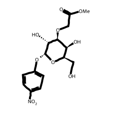 COC(=O)CO[C@H]1[C@@H](O)[C@@H](CO)O[C@H](Oc2ccc([N+](=O)[O-])cc2)[C@@H]1O